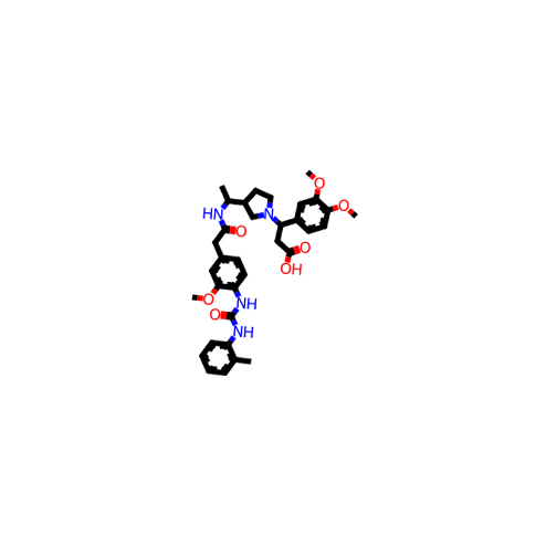 COc1cc(CC(=O)NC(C)C2CCN(C(CC(=O)O)c3ccc(OC)c(OC)c3)C2)ccc1NC(=O)Nc1ccccc1C